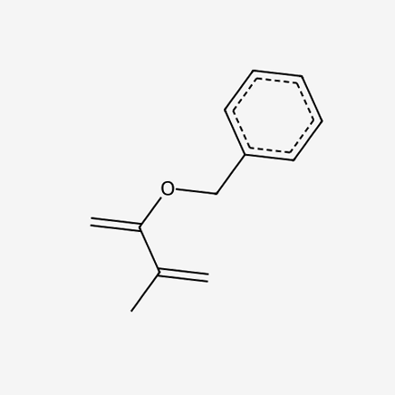 C=C(C)C(=C)OCc1ccccc1